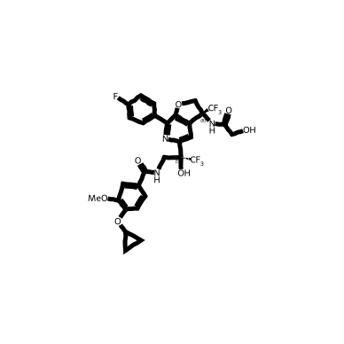 COc1cc(C(=O)NC[C@](O)(c2cc3c(c(-c4ccc(F)cc4)n2)OC[C@@]3(NC(=O)CO)C(F)(F)F)C(F)(F)F)ccc1OC1CC1